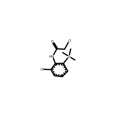 C[Si](C)(C)c1cccc(Cl)c1NC(=O)CCl